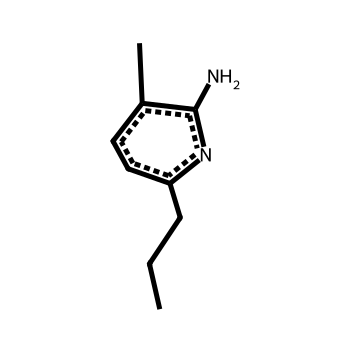 CCCc1ccc(C)c(N)n1